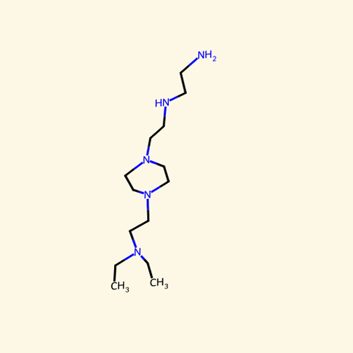 CCN(CC)CCN1CCN(CCNCCN)CC1